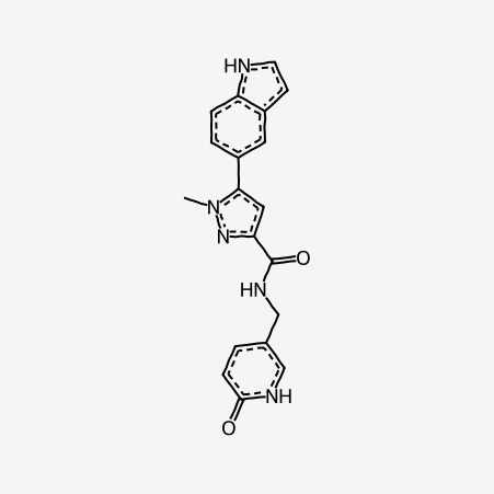 Cn1nc(C(=O)NCc2ccc(=O)[nH]c2)cc1-c1ccc2[nH]ccc2c1